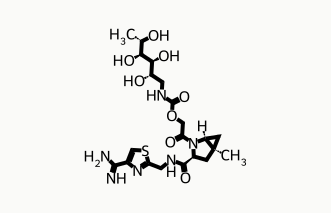 C[C@H](O)[C@H](O)[C@@H](O)[C@@H](O)CNC(=O)OCC(=O)N1[C@H]2C[C@@]2(C)C[C@H]1C(=O)NCc1nc(C(=N)N)cs1